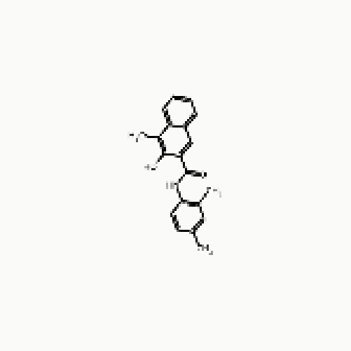 Cc1ccc(NC(=O)c2cc3ccccc3c(C)c2O)c(C)c1